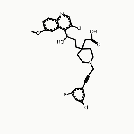 COc1ccc2ncc(Cl)c([C@H](O)CCC3(CC(=O)O)CCN(CC#Cc4cc(F)cc(Cl)c4)CC3)c2c1